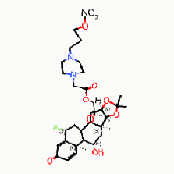 CC1(C)O[C@@H]2CC3C4C[C@H](F)C5=CC(=O)C=C[C@]5(C)C4[C@@H](O)C[C@]3(C)[C@]2(C(=O)COC(=O)CN2CCN(CCCO[N+](=O)[O-])CC2)O1